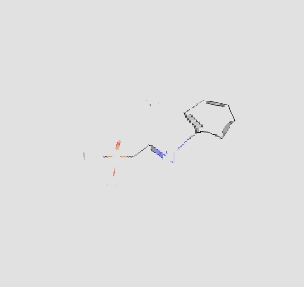 CP(=O)([O-])CC=Nc1ccccc1.[Na+]